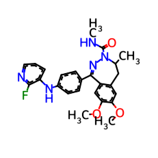 CNC(=O)N1N=C(c2ccc(Nc3cccnc3F)cc2)c2cc(OC)c(OC)cc2CC1C